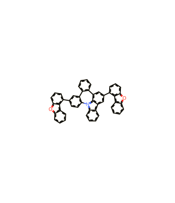 c1ccc2c(c1)-c1cc(-c3cccc4oc5ccccc5c34)ccc1-n1c3ccccc3c3cc(-c4cccc5oc6ccccc6c45)cc-2c31